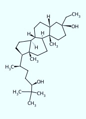 CC[C@]1(O)CC[C@@]2(C)[C@H](CC[C@@H]3[C@@H]2CC[C@]2(C)[C@@H]([C@H](C)CC[C@@H](O)C(C)(C)C)CC[C@@H]32)C1